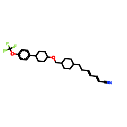 N#CC=CC=CCCC1CCC(COC2CCC(c3ccc(OC(F)(F)F)cc3)CC2)CC1